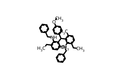 CCc1ccc(C)c(C(c2ccc(OC)cc2)c2c(C)ccc(CC)c2NCc2ccccc2)c1NCc1ccccc1